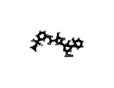 COc1cc(-c2nc(C(=O)Nc3cccc(C(F)(F)C4CC4)c3)c(C)[nH]2)c(C)c(-c2ccccc2C)c1